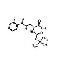 CC(C)(C)OC(=O)N[C@@H](CNC(=O)c1ccccc1F)C(=O)O